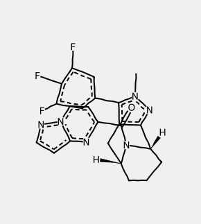 Cn1nc2c(c1-c1cc(F)c(F)c(F)c1)C[C@H]1CCC[C@@H]2N1C(=O)c1ccn2nccc2n1